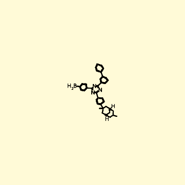 Bc1ccc(-c2nc(-c3ccc(C4(C)C[C@@H]5CC(C)C[C@@H](C5)C4)cc3)nc(-c3cccc(-c4ccccc4)c3)n2)cc1